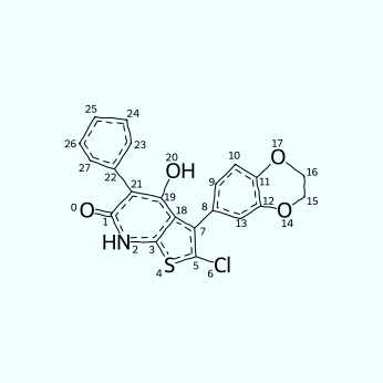 O=c1[nH]c2sc(Cl)c(-c3ccc4c(c3)OCCO4)c2c(O)c1-c1ccccc1